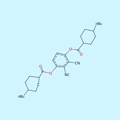 [C-]#[N+]c1c(OC(=O)C2CCC(CCCC)CC2)ccc(OC(=O)C2CCC(CCCC)CC2)c1C#N